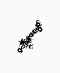 [CH2]CN(CC)CC[C@H](CSc1ccccc1)Nc1ccc(S(=O)(=O)NC(=O)c2ccc(N3CCC(C(O)c4ccccc4-c4ccc(Cl)cc4)CC3)cc2)cc1S(=O)(=O)C(F)(F)F